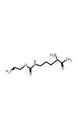 C=CCOC(=O)NCCC[C@@H](N)C(C)=O